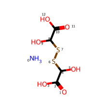 N.O=C(O)C(O)SSC(O)C(=O)O